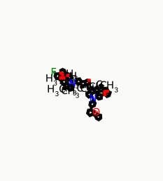 CC1(C)c2ccccc2-c2ccc(N(c3ccc4c(c3)C(C)(C)c3c(CC5(C)c6cc7c(cc6-c6c(N(c8ccc(-c9ccccc9)cc8)c8ccc(-c9cccc%10c9oc9ccccc9%10)cc8)cccc65)-c5ccccc5C7(C)C)cccc3-4)c3cccc4c3-c3cc5c(cc3C4(C)C)-c3ccc(F)cc3C5(C)C)cc21